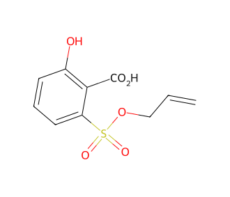 C=CCOS(=O)(=O)c1cccc(O)c1C(=O)O